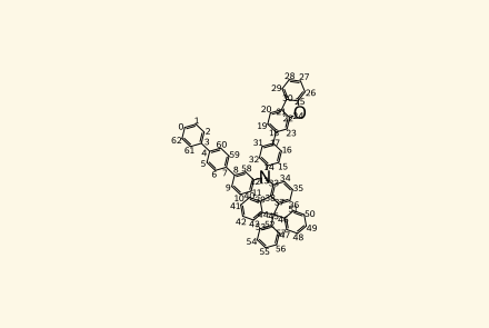 c1ccc(-c2ccc(-c3cccc(N(c4ccc(-c5ccc6c(c5)oc5ccccc56)cc4)c4cccc5c4-c4ccccc4C5(c4ccccc4)c4ccccc4)c3)cc2)cc1